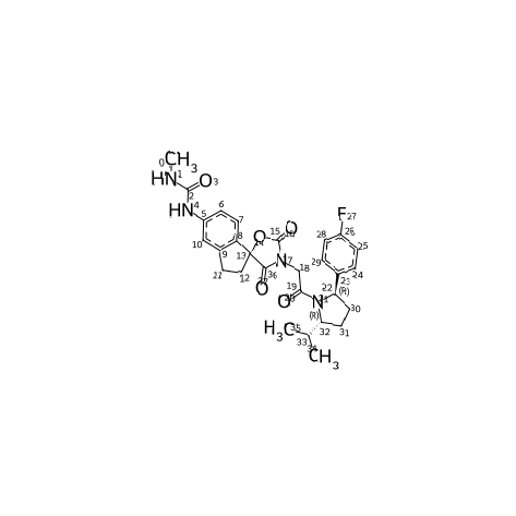 CNC(=O)Nc1ccc2c(c1)CCC21OC(=O)N(CC(=O)N2[C@@H](c3ccc(F)cc3)CC[C@@H]2C(C)C)C1=O